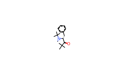 CN([C@H](Cc1ccccc1)C(=O)C(C)(C)C)C(C)(C)C